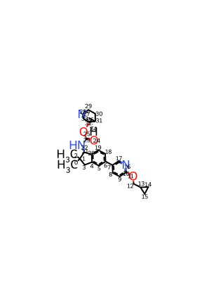 CC1(C)Cc2cc(-c3ccc(OCC4CC4)nc3)ccc2[C@@H]1NC(=O)O[C@H]1CN2CCC1CC2